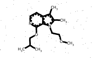 COCCn1c(C)c(C)c2ccnc(OCC(C)C)c21